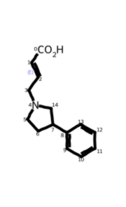 O=C(O)/C=C/CN1CCC(c2ccccc2)C1